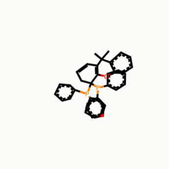 CC1(C)C2=C(Oc3ccccc31)C(P(c1ccccc1)c1ccccc1)(P(c1ccccc1)c1ccccc1)CC=C2